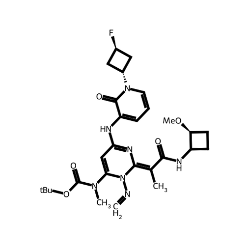 C=NN1C(N(C)C(=O)OC(C)(C)C)=CC(Nc2cccn([C@H]3C[C@H](F)C3)c2=O)=N/C1=C(/C)C(=O)NC1CC[C@@H]1OC